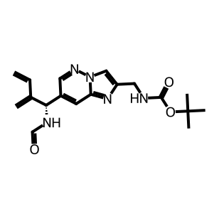 C=CC(=C)[C@@H](NC=O)c1cnn2cc(CNC(=O)OC(C)(C)C)nc2c1